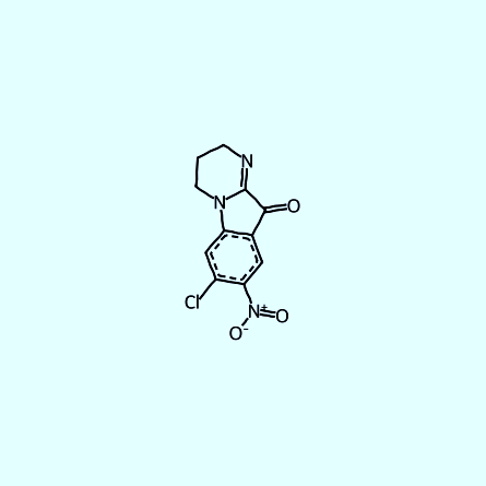 O=C1C2=NCCCN2c2cc(Cl)c([N+](=O)[O-])cc21